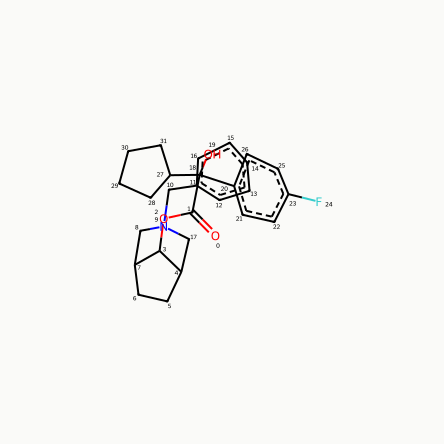 O=C(OC1C2CCC1CN(Cc1ccccc1)C2)C(O)(c1ccc(F)cc1)C1CCCC1